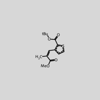 COC(=O)C(C)=Cc1ccsc1C(=O)OC(C)(C)C